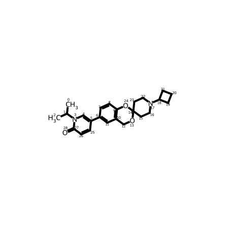 CC(C)n1cc(-c2ccc3c(c2)COC2(CCN(C4CCC4)CC2)O3)ccc1=O